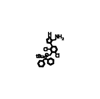 CC(C)(C)[Si](OCc1c(Cl)ccc(-c2cc[nH]c2CN)c1Cl)(c1ccccc1)c1ccccc1